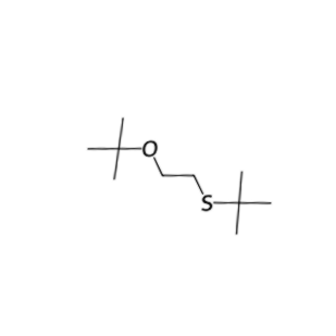 CC(C)(C)OCCSC(C)(C)C